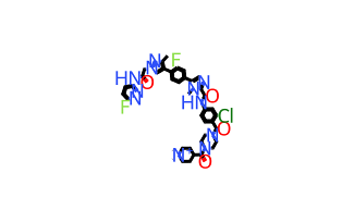 Cc1nn(CC(=O)Nc2ccc(F)nn2)cc1-c1ccc(-c2cnc(C(=O)Nc3ccc(C(=O)N4CCN(C(=O)C5CC[N+](C)(C)CC5)CC4)c(Cl)c3)n2C)cc1F